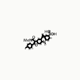 CNC(=O)c1c(-c2ccc(C)cc2)oc2cc(N(C)c3ccc(B(O)O)cc3)c(C3CC3)cc12